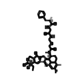 CC[SH]1(=O)C(=O)OCc2c1cc1n(c2=O)Cc2c-1nc1cc(F)c(C)c3c1c2[C@@H](N(C)C(=O)COCNC(=O)CNC(=O)[C@@H](C)Cc1ccccc1)CC3